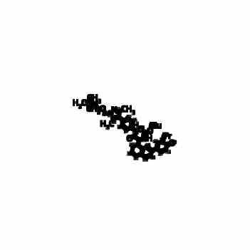 Cc1nn(COCC[Si](C)(C)C)c(C)c1-c1ccc(NC(=O)[C@@H](NC(=O)OC(C)(C)C)[C@@H]2CCCc3ccc(-c4ccc(=O)n(C(C)C)c4)cc32)cc1